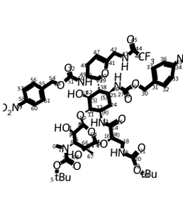 CN(C(=O)OC(C)(C)C)[C@@H]1[C@@H](O)[C@@H](O[C@H]2[C@H](NC(=O)[C@H](O)CNC(=O)OC(C)(C)C)C[C@H](NC(=O)OCc3ccc([N+](=O)[O-])cc3)C([C@H]3OC(CNC(=O)C(F)(F)F)=CC[C@H]3NC(=O)OCc3ccc([N+](=O)[O-])cc3)[C@@H]2O)OC[C@]1(C)O